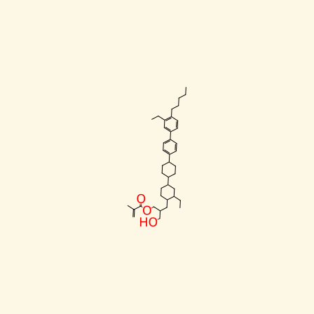 C=C(C)C(=O)OCC(CO)CC1CCC(C2CCC(c3ccc(-c4ccc(CCCCC)c(CC)c4)cc3)CC2)CC1CC